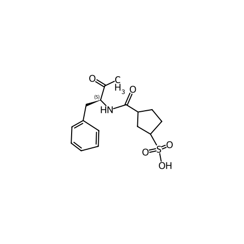 CC(=O)[C@H](Cc1ccccc1)NC(=O)C1CCC(S(=O)(=O)O)C1